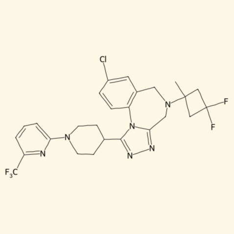 CC1(N2Cc3cc(Cl)ccc3-n3c(nnc3C3CCN(c4cccc(C(F)(F)F)n4)CC3)C2)CC(F)(F)C1